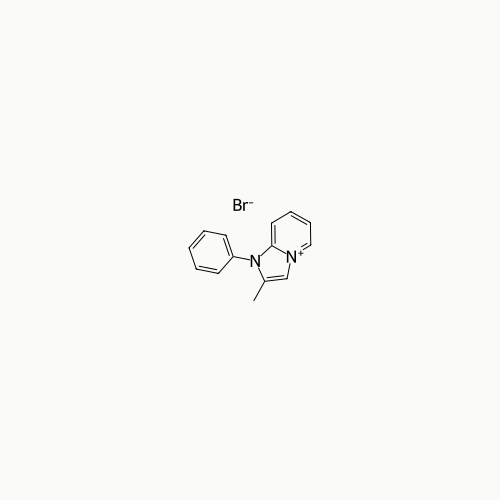 Cc1c[n+]2ccccc2n1-c1ccccc1.[Br-]